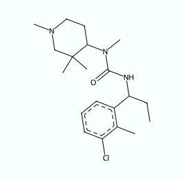 CCC(NC(=O)N(C)C1CCN(C)CC1(C)C)c1cccc(Cl)c1C